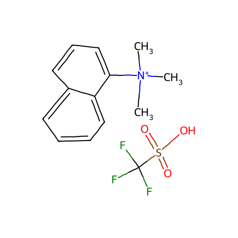 C[N+](C)(C)c1cccc2ccccc12.O=S(=O)(O)C(F)(F)F